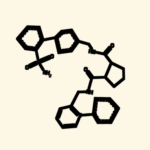 NS(=O)(=O)c1ccccc1-c1ccc(CNC(=O)C2CCCC2C(=O)NCC2=S(c3ccccc3)C=CC=C2)cc1